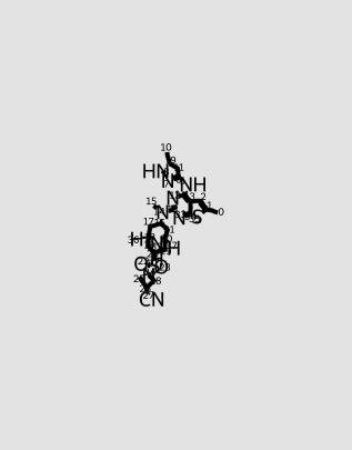 Cc1cc2c(NC3=NNC(C)C3)nc(N(C)[C@@H]3C[C@H]4CC(S(=O)(=O)N5CC(C#N)C5)C[C@@H](C3)N4)nc2s1